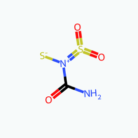 NC(=O)[N+]([S-])=S(=O)=O